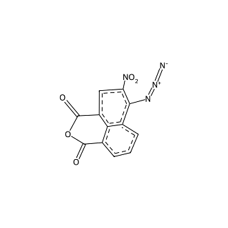 [N-]=[N+]=Nc1c([N+](=O)[O-])cc2c3c(cccc13)C(=O)OC2=O